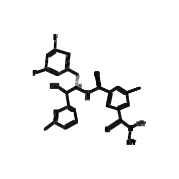 CCCN(CCC)C(=O)c1cc(C)cc(C(=O)N[C@@H](Cc2cc(F)cc(F)c2)C(O)c2cccc(C)n2)c1